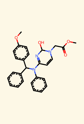 COC(=O)CN1C=CC(N(c2ccccc2)C(c2ccccc2)c2ccc(OC)cc2)=NC1O